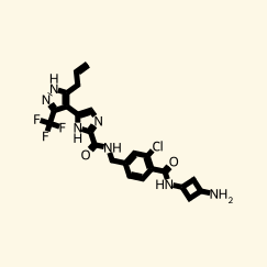 C=CCc1[nH]nc(C(F)(F)F)c1-c1cnc(C(=O)NCc2ccc(C(=O)NC3CC(N)C3)c(Cl)c2)[nH]1